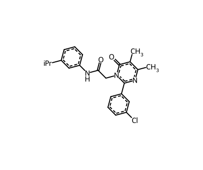 Cc1nc(-c2cccc(Cl)c2)n(CC(=O)Nc2cccc(C(C)C)c2)c(=O)c1C